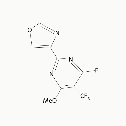 COc1nc(-c2cocn2)nc(F)c1C(F)(F)F